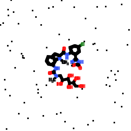 CN(CC(O)C(O)C(O)C(O)CO)C(=O)Nc1cccc2cc(C(=O)Nc3ccc(Cl)cc3-c3noc(=O)[nH]3)n(C)c12